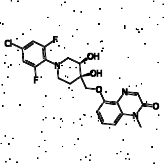 Cn1c(=O)cnc2c(OC[C@]3(O)CCN(c4c(F)cc(Cl)cc4F)C[C@H]3O)cccc21